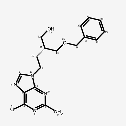 Nc1nc(Cl)c2ncn(CC[C@H](CO)COCc3ccccc3)c2n1